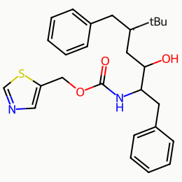 CC(C)(C)[C](Cc1ccccc1)CC(O)C(Cc1ccccc1)NC(=O)OCc1cncs1